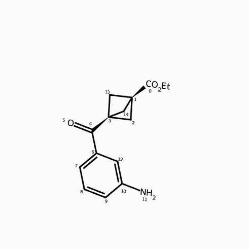 CCOC(=O)[C@]12C[C@](C(=O)c3cccc(N)c3)(C1)C2